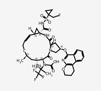 C[C@H]1CCC=C[C@@H]2C[C@@]2(C(=O)NS(=O)(=O)C2(CF)CC2)NC(=O)[C@@H]2C[C@@H](Oc3nc4c(c5ccccc35)CCCO4)CN2C(=O)[C@@H](N(C(=O)O)C(C)(C)C(F)(F)F)[C@H](C)C1